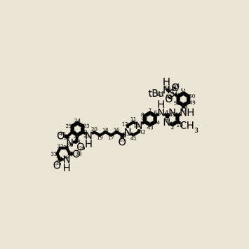 Cc1cnc(Nc2ccc(N3CCN(C(=O)CCCCCNc4cccc5c4C(=O)N(C4CCC(=O)NC4=O)C5=O)CC3)cc2)nc1Nc1cccc(S(=O)(=O)NC(C)(C)C)c1